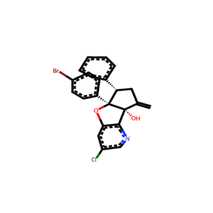 C=C1C[C@@H](c2ccccc2)[C@]2(c3ccc(Br)cc3)Oc3cc(Cl)cnc3[C@]12O